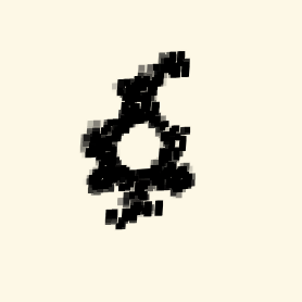 CC(=O)[C@@H]1CSSC[C@H](NC(=O)[C@H](CCCNC(=N)N)N2C(=O)CNC2=O)C(=O)N[C@H](C)C(=O)N[C@@H](Cc2cnc[nH]2)C(=O)N[C@H](Cc2ccccc2)C(=O)N[C@@H](CCCNC(=N)N)C(=O)N[C@@H](Cc2c[nH]c3ccccc23)C(=O)N1